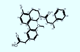 COc1ccc(CC(=O)O)cc1-c1ccc(F)c2c1CN(C(=O)C[C@H](C)c1ccccc1)CC2